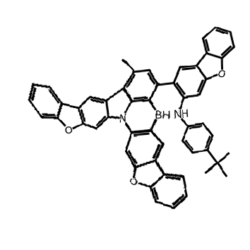 Cc1cc(-c2cc3c(cc2Nc2ccc(C(C)(C)C)cc2)oc2ccccc23)c2c3c1c1cc4c(cc1n3-c1cc3oc5ccccc5c3cc1B2)oc1ccccc14